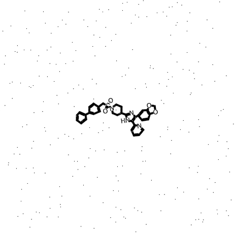 O=S(=O)(Cc1ccc(-c2ccccc2)cc1)N1CCC(c2nc(-c3ccc4c(c3)OCO4)c(-c3ccccn3)[nH]2)CC1